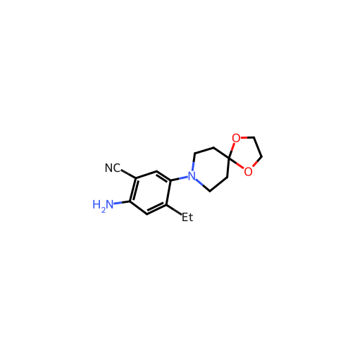 CCc1cc(N)c(C#N)cc1N1CCC2(CC1)OCCO2